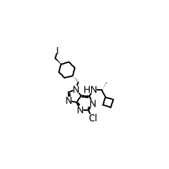 C[C@@H](Nc1nc(Cl)nc2ncn(C[C@H]3CC[C@H](CI)CC3)c12)C1CCC1